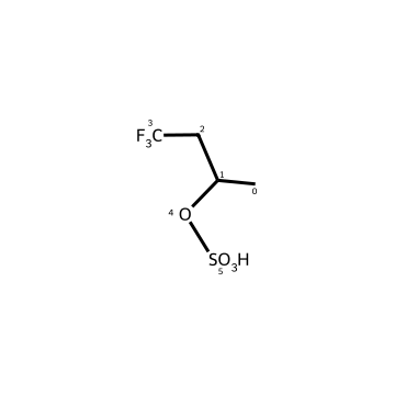 CC(CC(F)(F)F)OS(=O)(=O)O